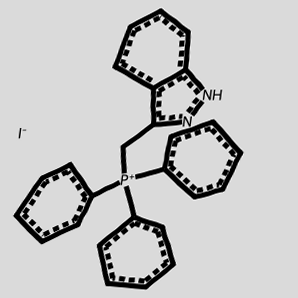 [I-].c1ccc([P+](Cc2n[nH]c3ccccc23)(c2ccccc2)c2ccccc2)cc1